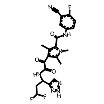 Cc1c(C(=O)C(=O)NC(CC(F)F)c2cn[nH]n2)c(C)n(C)c1C(=O)Nc1ccc(F)c(C#N)c1